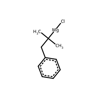 C[C](C)(Cc1ccccc1)[Mg][Cl]